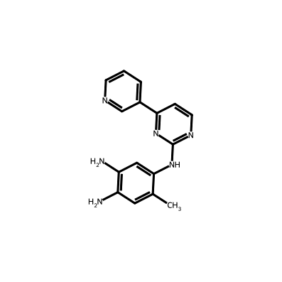 Cc1cc(N)c(N)cc1Nc1nccc(-c2cccnc2)n1